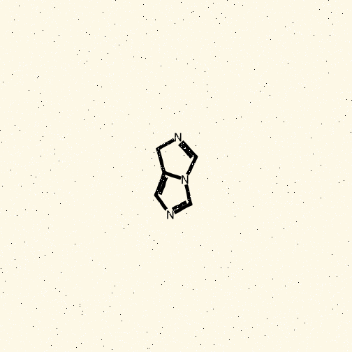 C1=NCc2cncn21